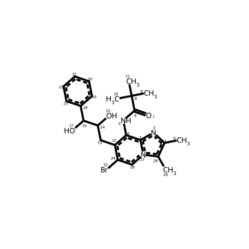 Cc1nc2c(NC(=O)C(C)(C)C)c(CC(O)C(O)c3ccccc3)c(Br)cn2c1C